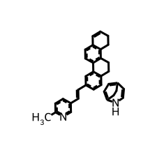 C1=CC2=CC=C(CC2)N1.Cc1ccc(/C=C/c2ccc3c(c2)-c2ccc4c(c2CC3)CCC=C4)cn1